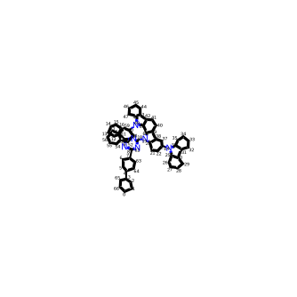 c1ccc(-c2ccc(-c3nc(-c4ccccc4)nc(-n4c5ccc(-n6c7ccccc7c7ccccc76)cc5c5ccc6c7ccccc7n(-c7ccc8ccccc8c7)c6c54)n3)cc2)cc1